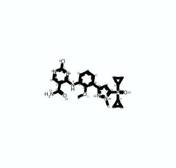 COc1c(Nc2nc(Cl)ncc2C(N)=O)cccc1-c1cc(P(=O)(C2CC2)C2CC2)n(C)n1